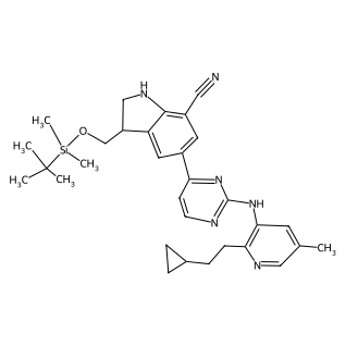 Cc1cnc(CCC2CC2)c(Nc2nccc(-c3cc(C#N)c4c(c3)C(CO[Si](C)(C)C(C)(C)C)CN4)n2)c1